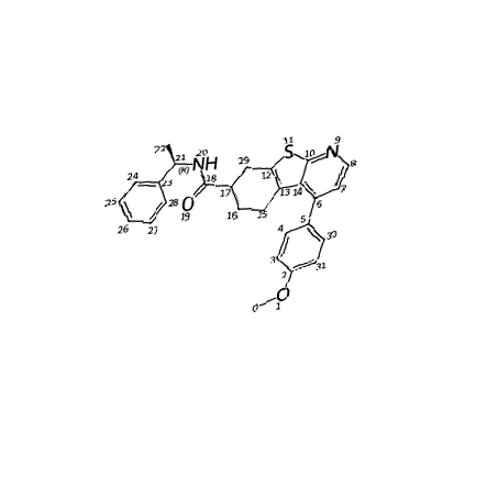 COc1ccc(-c2ccnc3sc4c(c23)CCC(C(=O)N[C@H](C)c2ccccc2)C4)cc1